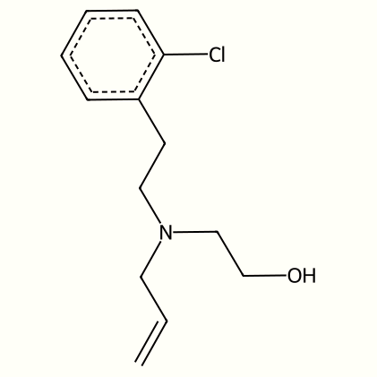 C=CCN(CCO)CCc1ccccc1Cl